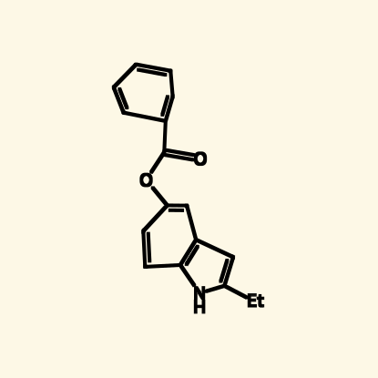 CCc1cc2cc(OC(=O)c3ccccc3)ccc2[nH]1